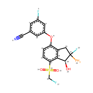 N#Cc1cc(F)cc(Oc2ccc(S(=O)(=O)CF)c3c2CC(F)(P)[C@H]3O)c1